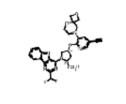 C#Cc1cnc(O[C@H]2C[C@@H](C(=O)O)N(c3nc(C(F)F)nc4c3oc3ccccc34)C2)c(N2CCOC3(COC3)C2)c1